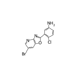 Nc1ccc(Cl)c(-c2nc3ncc(Br)cc3o2)c1